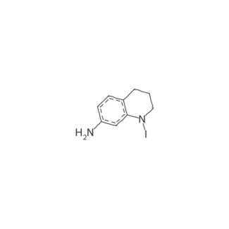 Nc1ccc2c(c1)N(I)CCC2